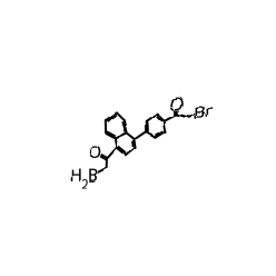 BCC(=O)c1ccc(-c2ccc(C(=O)CBr)cc2)c2ccccc12